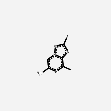 Cc1cn2nc(I)nc2c(I)n1